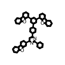 c1ccc(-c2nc(-c3ccc(-c4cc(-c5cccc6c5oc5ccccc56)cc(-c5cccc6c5oc5ccccc56)c4)cc3)cc(-c3ccc4c(c3)oc3ccccc34)n2)cc1